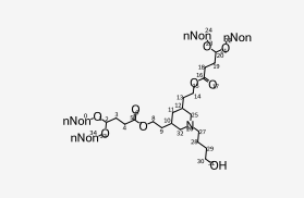 CCCCCCCCCOC(CCC(=O)OCCC1CC(CCOC(=O)CCC(OCCCCCCCCC)OCCCCCCCCC)CN(CCCCO)C1)OCCCCCCCCC